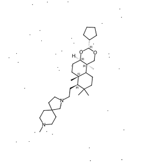 CN1CCC2(CC1)CCN(CC[C@@H]1C(C)(C)CCC3[C@]4(C)CO[C@@H](C5CCCC5)O[C@@H]4CC[C@]31C)C2